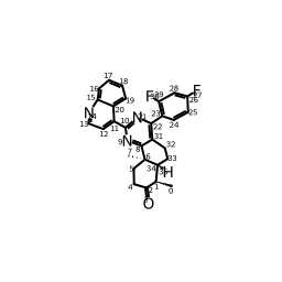 C[C@H]1C(=O)CC[C@@]2(C)c3nc(-c4ccnc5ccccc45)nc(-c4ccc(F)cc4F)c3CC[C@H]12